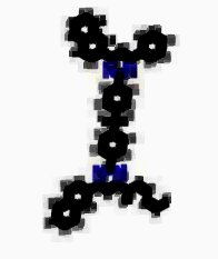 C=C(/C=C\C=C/C)c1cc(-c2ccc3ccccc3c2)nc(-c2ccc(C(C)(C)c3ccc(-c4nc(-c5ccccc5)cc(-c5ccc6ccccc6c5)n4)cc3)cc2)n1